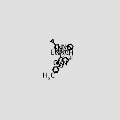 CCOC(=O)[C@@H]1C2CCC(CC2)[C@H]1Nc1nc(-c2cn(S(=O)(=O)c3ccc(C)cc3)c3ncc(F)cc23)nn2cc(C3CC3)cc12